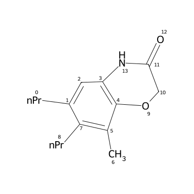 CCCc1cc2c(c(C)c1CCC)OCC(=O)N2